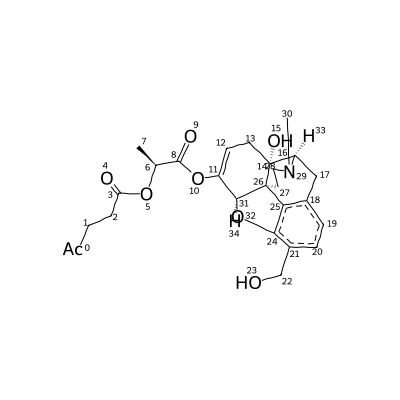 CC(=O)CCC(=O)O[C@@H](C)C(=O)OC1=CC[C@@]2(O)[C@H]3Cc4ccc(CO)c5c4[C@@]2(CCN3C)[C@H]1O5